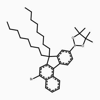 CCCCCCCCC1(CCCCCCCC)c2cc(B3OC(C)(C)C(C)(C)O3)ccc2-c2c1cc(Br)c1ccccc21